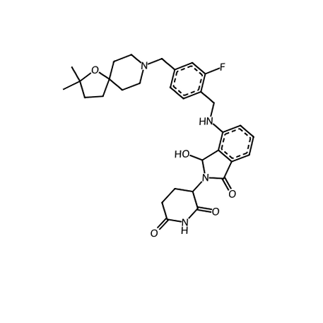 CC1(C)CCC2(CCN(Cc3ccc(CNc4cccc5c4C(O)N(C4CCC(=O)NC4=O)C5=O)c(F)c3)CC2)O1